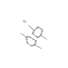 Cc1ccc(C)cc1.Cc1ccc(C)cc1.[Cr]